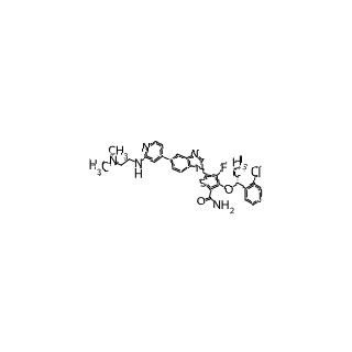 C[C@@H](Oc1c(C(N)=O)sc(-n2cnc3cc(-c4ccnc(NCCN(C)C)c4)ccc32)c1F)c1ccccc1Cl